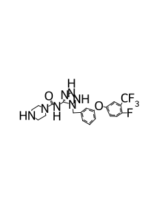 O=C(NC1=NNNN1Cc1cccc(Oc2ccc(F)c(C(F)(F)F)c2)c1)N1CCNCC1